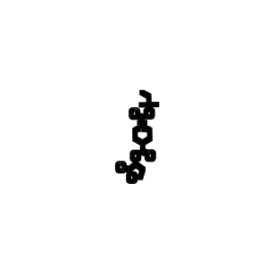 CCC(C)(C)OC(=O)N1CCC(C(=O)OC2CCOC2=O)CC1